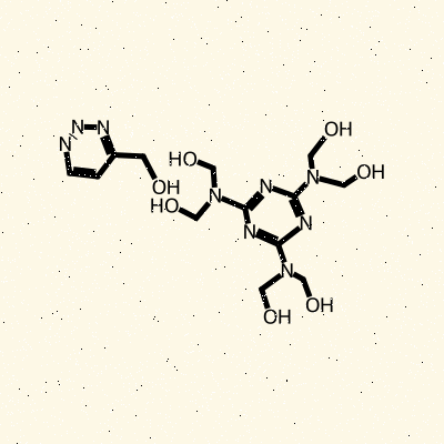 OCN(CO)c1nc(N(CO)CO)nc(N(CO)CO)n1.OCc1ccnnn1